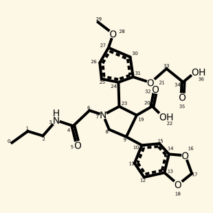 CCCNC(=O)CN1CC(c2ccc3c(c2)OCO3)C(C(=O)O)C1c1ccc(OC)cc1OCC(=O)O